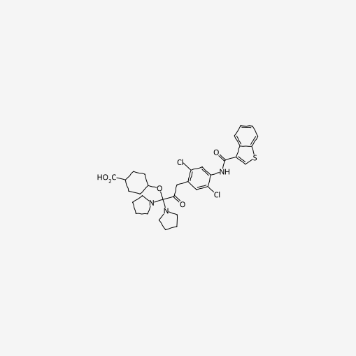 O=C(Nc1cc(Cl)c(CC(=O)C(OC2CCC(C(=O)O)CC2)(N2CCCC2)N2CCCC2)cc1Cl)c1csc2ccccc12